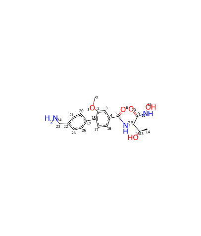 COc1cc(C(=O)N[C@H](C(=O)NO)[C@@H](C)O)ccc1-c1ccc(CN)cc1